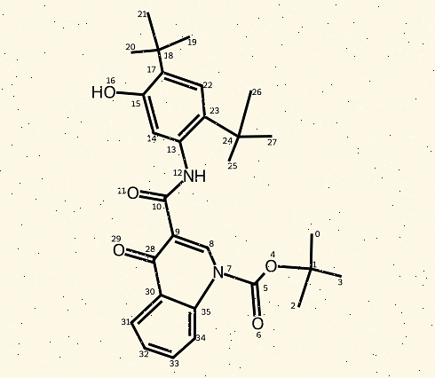 CC(C)(C)OC(=O)n1cc(C(=O)Nc2cc(O)c(C(C)(C)C)cc2C(C)(C)C)c(=O)c2ccccc21